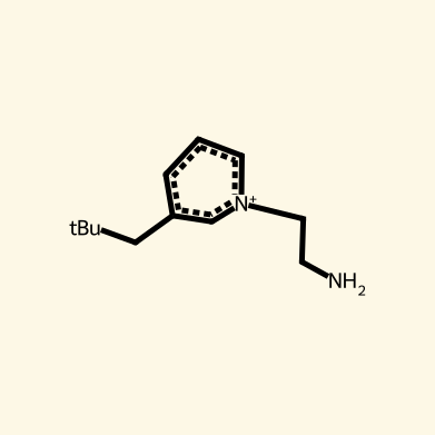 CC(C)(C)Cc1ccc[n+](CCN)c1